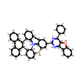 c1ccc(-c2nc(-c3cc4c5c(c3)c3cccc6c3n5-c3c(cccc3-c3c-6c5ccccc5c5ccccc35)S4)nc3c2oc2ccccc23)cc1